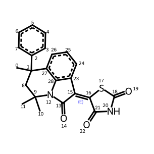 CC1(c2ccccc2)CC(C)(C)N2C(=O)/C(=C3/SC(=O)NC3=O)c3cccc1c32